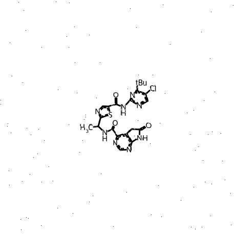 CC(NC(=O)c1ncnc2c1CC(=O)N2)c1ncc(C(=O)Nc2ncc(Cl)c(C(C)(C)C)n2)s1